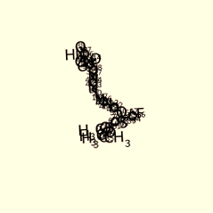 CC1(C)OB(c2ccc3c(Oc4ccc(N5CCN(CCCN6CCN(c7ccc8c(c7)C(=O)N(C7CCC(=O)NC7=O)C8=O)CC6)CC5)cc4)c(-c4ccc(F)cc4)sc3c2)OC1(C)C